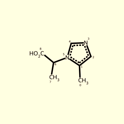 Cc1cncn1C(C)C(=O)O